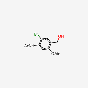 COc1cc(NC(C)=O)c(Br)cc1CO